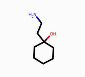 NCCC1(O)CCCCC1